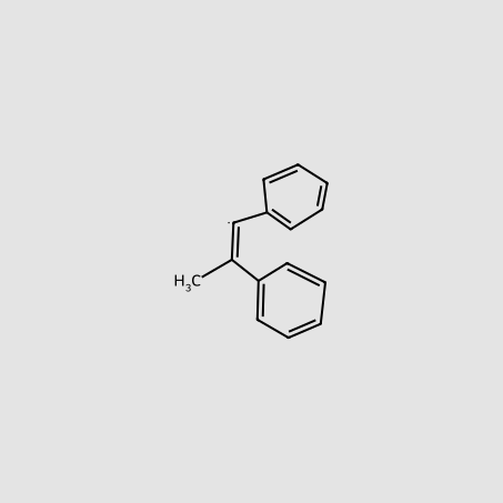 C/C(=[C]/c1ccccc1)c1ccccc1